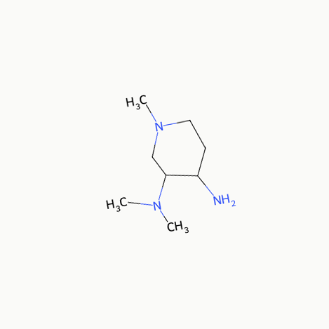 CN1CCC(N)C(N(C)C)C1